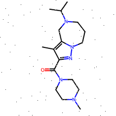 Cc1c(C(=O)N2CCN(C)CC2)nn2c1CN(C(C)C)CCC2